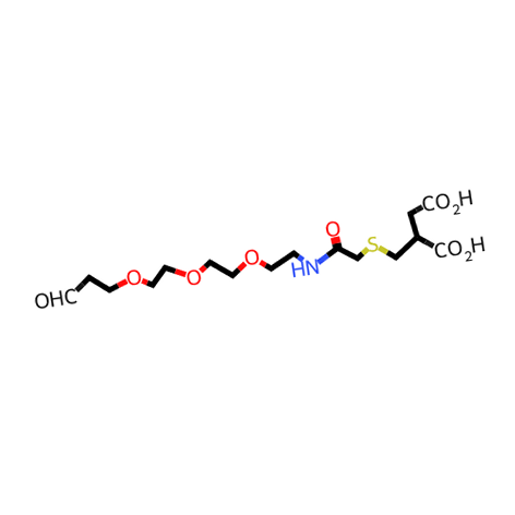 O=CCCOCCOCCOCCNC(=O)CSCC(CC(=O)O)C(=O)O